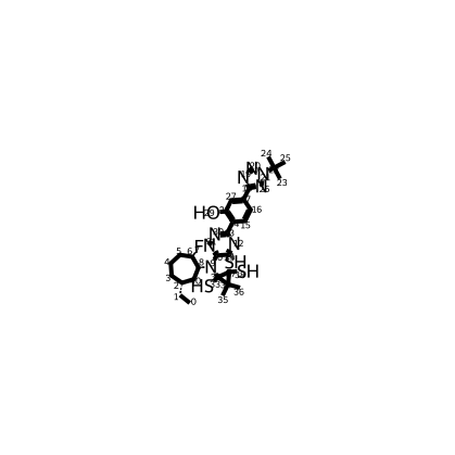 CC[C@@H]1CCC[C@H](F)[C@H](N(c2cnc(-c3ccc(-c4nnn(C(C)(C)C)n4)cc3O)nn2)C2(S)C(C)(C)C2(S)S)C1